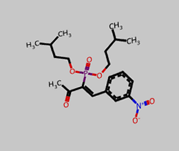 CC(=O)C(=Cc1cccc([N+](=O)[O-])c1)P(=O)(OCCC(C)C)OCCC(C)C